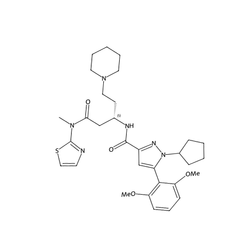 COc1cccc(OC)c1-c1cc(C(=O)N[C@@H](CCN2CCCCC2)CC(=O)N(C)c2nccs2)nn1C1CCCC1